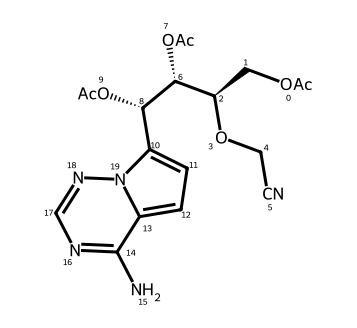 CC(=O)OC[C@@H](OCC#N)[C@@H](OC(C)=O)[C@@H](OC(C)=O)c1ccc2c(N)ncnn12